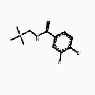 C=C(NCS(C)(C)C)c1ccc(Br)c(Cl)c1